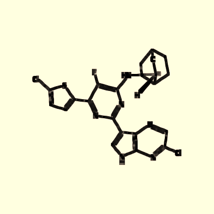 Fc1c(N[C@@H]2CC3CCC2CC3)nc(-c2c[nH]c3nc(Cl)cnc23)nc1-c1ccc(Cl)s1